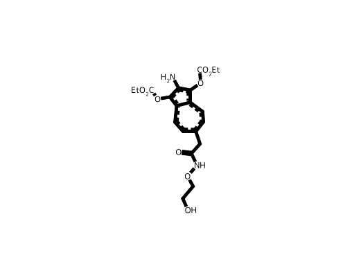 CCOC(=O)Oc1c2ccc(CC(=O)NOCCO)ccc-2c(OC(=O)OCC)c1N